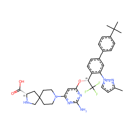 Cc1ccn(-c2cc(-c3ccc(C(C)(C)C)cc3)ccc2[C@@H](Oc2cc(N3CCC4(CC3)CN[C@H](C(=O)O)C4)nc(N)n2)C(F)(F)F)n1